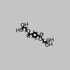 O=C(OCCC(O)O)c1ccc(C(=O)OCCC(O)O)cc1